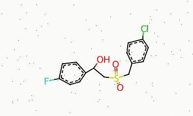 O=S(=O)(Cc1ccc(Cl)cc1)CC(O)c1ccc(F)cc1